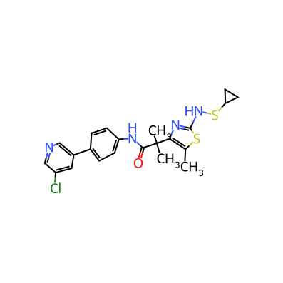 Cc1sc(NSC2CC2)nc1C(C)(C)C(=O)Nc1ccc(-c2cncc(Cl)c2)cc1